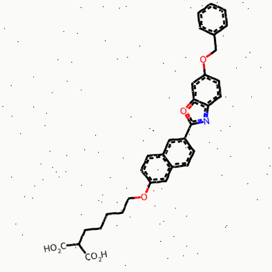 O=C(O)C(CCCCCOc1ccc2cc(-c3nc4ccc(OCc5ccccc5)cc4o3)ccc2c1)C(=O)O